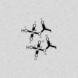 CC(=O)OS(=O)(=O)O.CC(=O)OS(=O)(=O)O